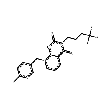 O=c1nc2n(Cc3ccc(Cl)nc3)cccc-2c(=O)n1CCCC(F)(F)F